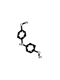 CC(C)Oc1ccc(Nc2ccc(OC(C)C)cc2)cc1